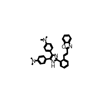 CN(C)c1ccc(-c2nc(-c3ccccc3/C=C/c3nc4ccccc4o3)[nH]c2-c2ccc(N(C)C)cc2)cc1